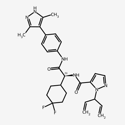 C=CC(C=C)n1nccc1C(=O)N[C@H](C(=O)Nc1ccc(-c2c(C)n[nH]c2C)cc1)C1CCC(F)(F)CC1